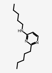 CCCCCNc1ccnc(CCCCC)n1